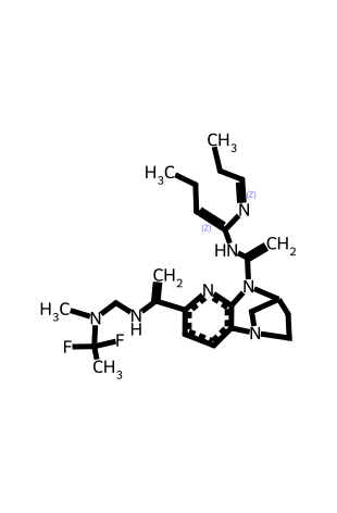 C=C(NCN(C)C(C)(F)F)c1ccc2c(n1)N(C(=C)NC(=C/CC)/N=C\CC)C1CCN2C1